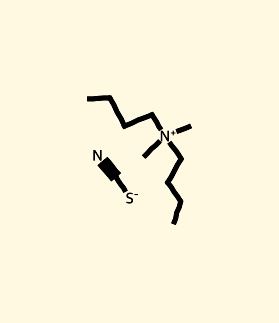 CCCC[N+](C)(C)CCCC.N#C[S-]